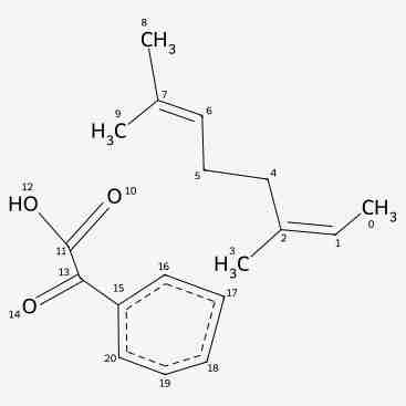 CC=C(C)CCC=C(C)C.O=C(O)C(=O)c1ccccc1